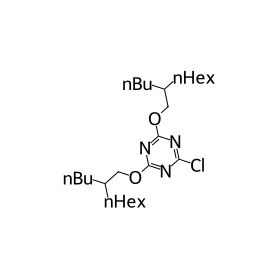 CCCCCCC(CCCC)COc1nc(Cl)nc(OCC(CCCC)CCCCCC)n1